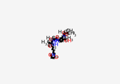 CC(C)[C@H](NC(=O)CCCCCN1C(=O)C=CC1=O)C(=O)N[C@@H](C)C(=O)Nc1ccc(CO)c(CN(C)C(=O)OC(C)(C)C)c1